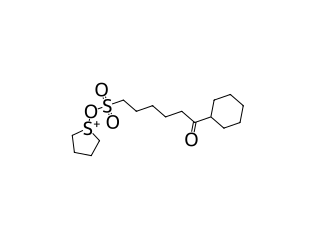 O=C(CCCCCS(=O)(=O)O[S+]1CCCC1)C1CCCCC1